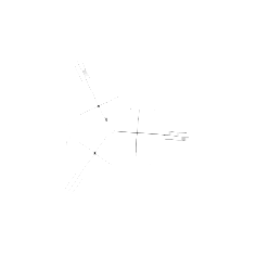 C#CC(C)(C)[SiH](C(C)(C)C#C)C(C)(C)C#C